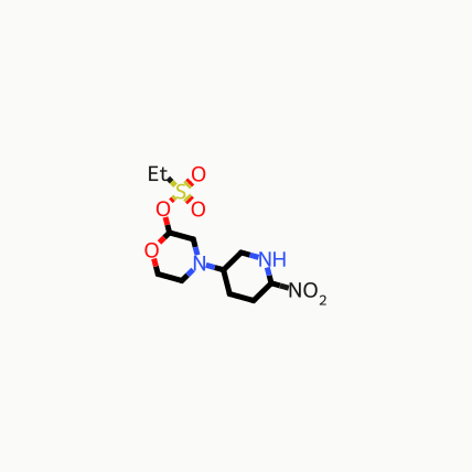 CCS(=O)(=O)OC1CN(C2CCC([N+](=O)[O-])NC2)CCO1